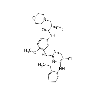 C=C(CN1CCOCC1)C(=O)Nc1ccc(OC)c(Nc2ncc(Cl)c(Nc3ccccc3CC)n2)c1